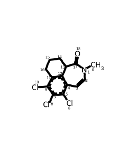 CN1C=Cc2c(Cl)c(Cl)c(Cl)c3c2C(CCC3)C1=O